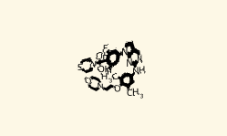 Cc1cc(Nc2ncc3ccn(-c4cc(F)c(C(O)(O)N5CCSCC5)c(F)c4)c3n2)cc(C)c1OCCN1CCOCC1